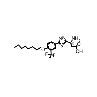 CCCCCCCCOc1ccc(-c2nnc([C@@H](N)CC(=O)O)s2)cc1C(F)(F)F